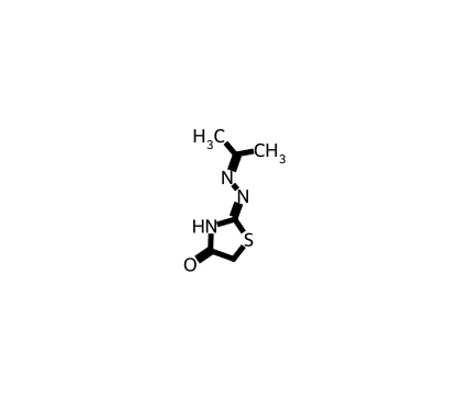 CC(C)=N/N=C1\NC(=O)CS1